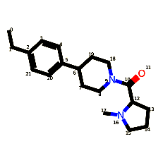 CCc1ccc(C2CCN(C(=O)C3CCCN3C)CC2)cc1